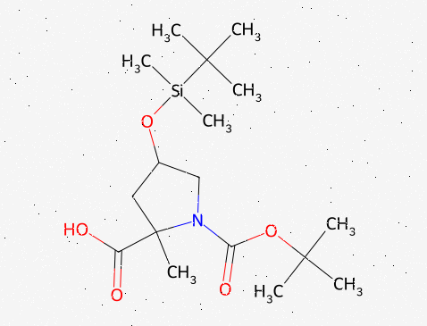 CC(C)(C)OC(=O)N1CC(O[Si](C)(C)C(C)(C)C)CC1(C)C(=O)O